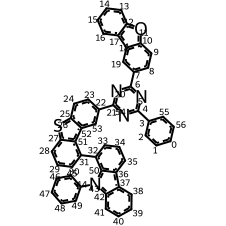 c1ccc(-c2nc(-c3ccc4oc5ccccc5c4c3)nc(-c3ccc4sc5cccc(-c6cccc7c8ccccc8n(-c8ccccc8)c67)c5c4c3)n2)cc1